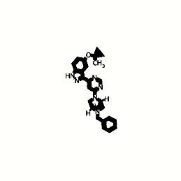 CC1(Oc2ccc3[nH]nc(-c4cc(N5C[C@@H]6C[C@H]5CN6Cc5ccccc5)ncn4)c3c2)CC1